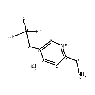 Cl.NCc1ccc(CC(F)(F)F)cn1